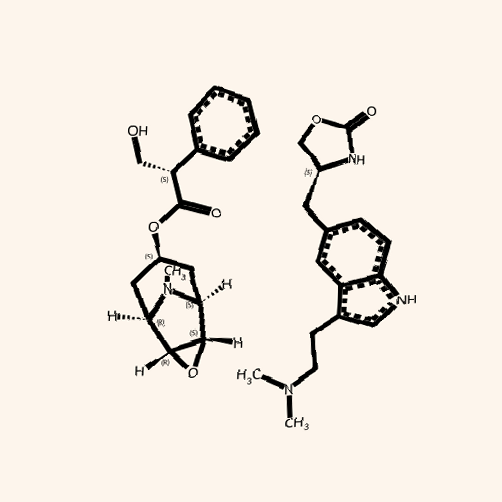 CN(C)CCc1c[nH]c2ccc(C[C@H]3COC(=O)N3)cc12.CN1[C@@H]2C[C@@H](OC(=O)[C@H](CO)c3ccccc3)C[C@H]1[C@@H]1O[C@@H]12